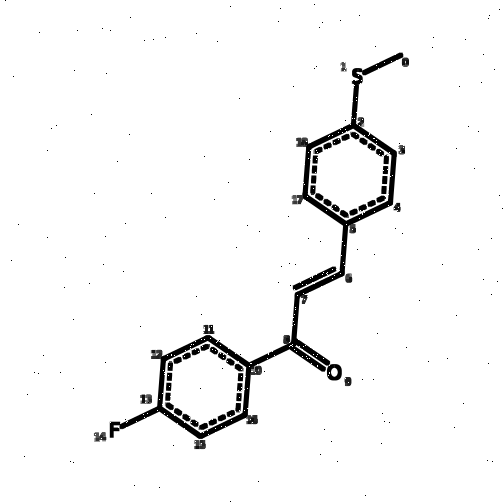 CSc1ccc(C=CC(=O)c2ccc(F)cc2)cc1